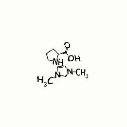 CN1C=CN(C)C1.O=C(O)[C@@H]1CCCN1